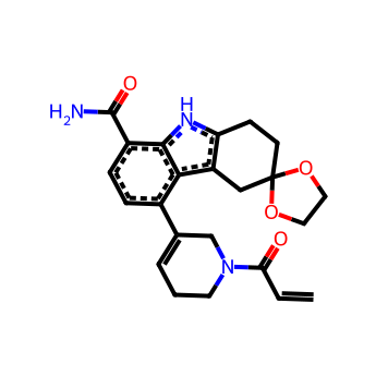 C=CC(=O)N1CCC=C(c2ccc(C(N)=O)c3[nH]c4c(c23)CC2(CC4)OCCO2)C1